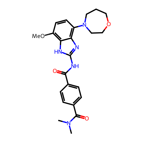 COc1ccc(N2CCCOCC2)c2nc(NC(=O)c3ccc(C(=O)N(C)C)cc3)[nH]c12